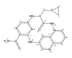 NC(=O)c1ncc(NC(CC2CC2)C(N)=O)nc1Nc1cnc2cccnc2c1